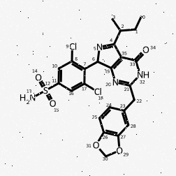 CCC(C)C1=NC(c2c(Cl)cc(S(N)(=O)=O)cc2Cl)c2nc(Cc3ccc4c(c3)OCO4)[nH]c(=O)c21